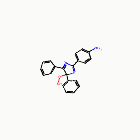 Nc1ccc(C2=NC(OO)(c3ccccc3)C(c3ccccc3)=N2)cc1